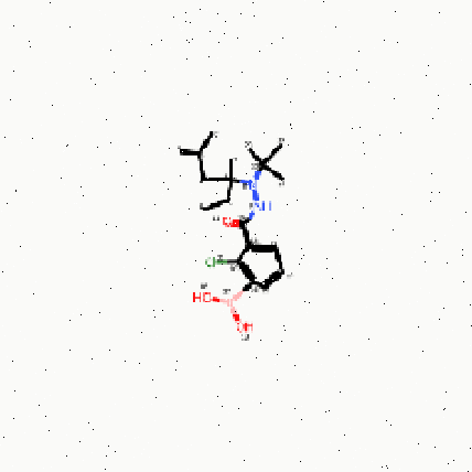 CCC(C)(CC(C)C)N(NC(=O)c1cccc(B(O)O)c1Cl)C(C)(C)C